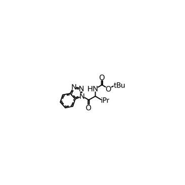 CC(C)C(NC(=O)OC(C)(C)C)C(=O)n1nnc2ccccc21